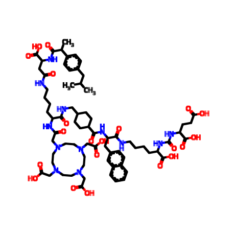 CC(C)Cc1ccc(C(C)C(=O)NC(CC(=O)NCCCCC(NC(=O)CN2CCN(CC(=O)O)CCN(CC(=O)O)CCN(CC(=O)O)CC2)C(=O)NCC2CCC(C(=O)NC(Cc3ccc4ccccc4c3)C(=O)NCCCCC(NC(=O)NC(CCC(=O)O)C(=O)O)C(=O)O)CC2)C(=O)O)cc1